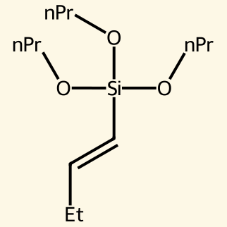 CCC=C[Si](OCCC)(OCCC)OCCC